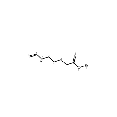 C=CNCCCCC(=O)OCC